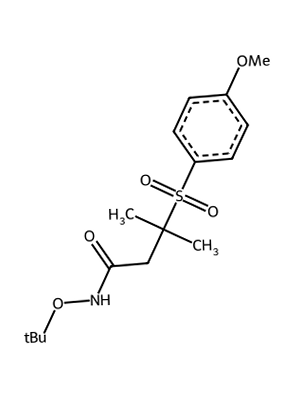 COc1ccc(S(=O)(=O)C(C)(C)CC(=O)NOC(C)(C)C)cc1